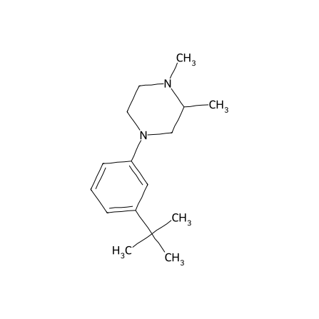 CC1CN(c2cccc(C(C)(C)C)c2)CCN1C